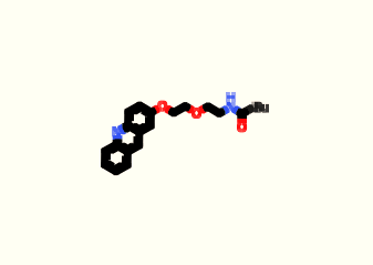 CCC(C)C(=O)NCCOCCOc1ccc2nc3ccccc3cc2c1